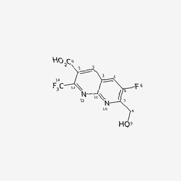 O=C(O)c1cc2cc(F)c(CO)nc2nc1C(F)(F)F